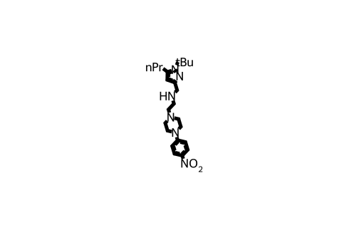 CCCc1cc(CNCCN2CCN(c3ccc([N+](=O)[O-])cc3)CC2)nn1C(C)(C)C